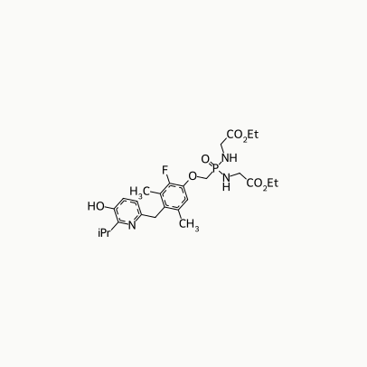 CCOC(=O)CNP(=O)(COc1cc(C)c(Cc2ccc(O)c(C(C)C)n2)c(C)c1F)NCC(=O)OCC